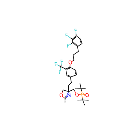 CC1=NC(CCc2ccc(OCCCc3ccc(F)c(F)c3F)c(C(F)(F)F)c2)(COP(=O)(C(C)(C)C)C(C)(C)C)CO1